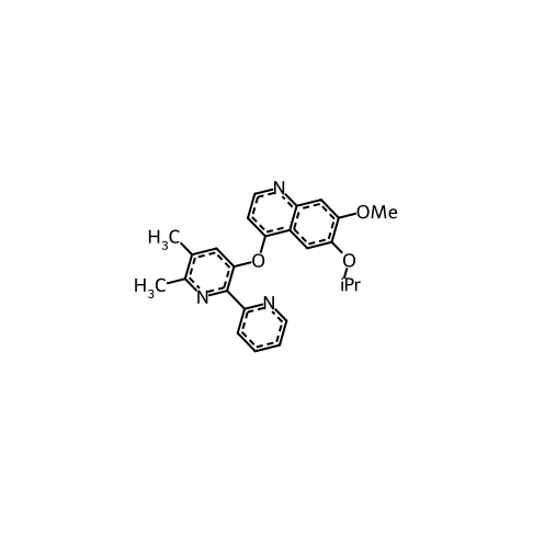 COc1cc2nccc(Oc3cc(C)c(C)nc3-c3ccccn3)c2cc1OC(C)C